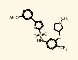 COc1cccc(-c2ccc(S(=O)(=O)Nc3ccc(C(F)(F)F)c(OC4CCN(C)C4)c3)s2)c1